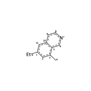 CCc1cc(C)c2cnccc2c1